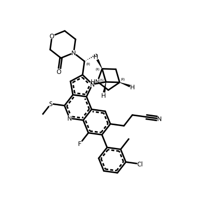 CSc1nc2c(F)c(-c3cccc(Cl)c3C)c(CCC#N)cc2c2c1cc([C@@H](C)N1CCOCC1=O)n2[C@H]1[C@H]2CN[C@@H]1C2